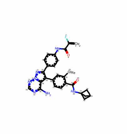 C=C(F)C(=O)Nc1ccc(-c2nn3ncnc(N)c3c2-c2ccc(C(=O)NC34CC(C3)C4)c(OC)c2)cc1